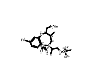 CNCC1Oc2cc(Br)ccc2S(=O)(=O)N(C(C)CO[Si](C)(C(C)C)C(C)C)CC1C